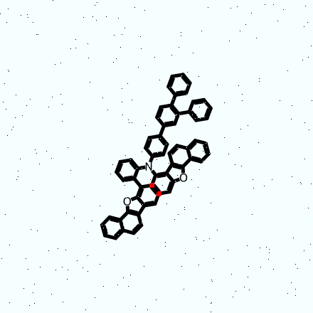 c1ccc(-c2ccc(-c3ccc(N(c4ccccc4-c4cccc5c4oc4c6ccccc6ccc54)c4cccc5oc6c7ccccc7ccc6c45)cc3)cc2-c2ccccc2)cc1